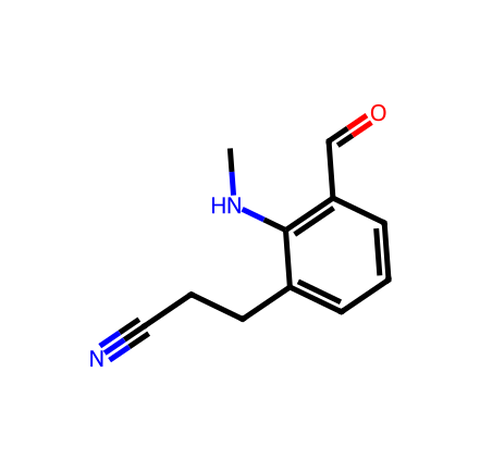 CNc1c(C=O)cccc1CCC#N